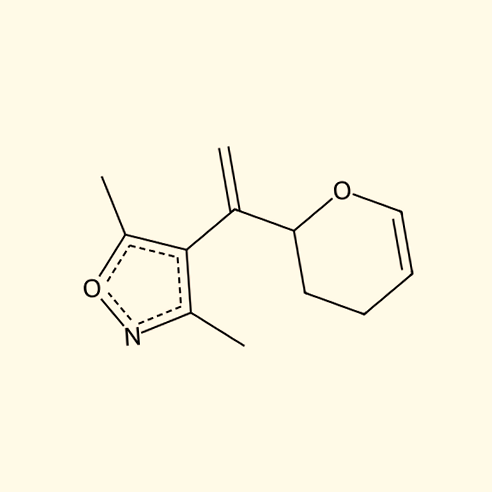 C=C(c1c(C)noc1C)C1CCC=CO1